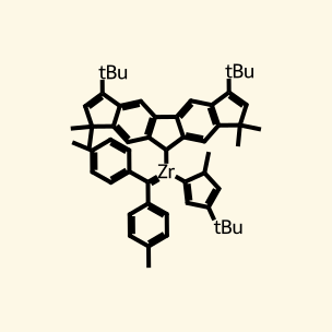 Cc1ccc([C](c2ccc(C)cc2)=[Zr]([C]2=CC(C(C)(C)C)=CC2C)[CH]2c3cc4c(cc3-c3cc5c(cc32)C(C)(C)C=C5C(C)(C)C)C(C(C)(C)C)=CC4(C)C)cc1